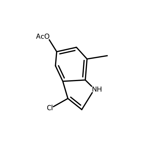 CC(=O)Oc1cc(C)c2[nH]cc(Cl)c2c1